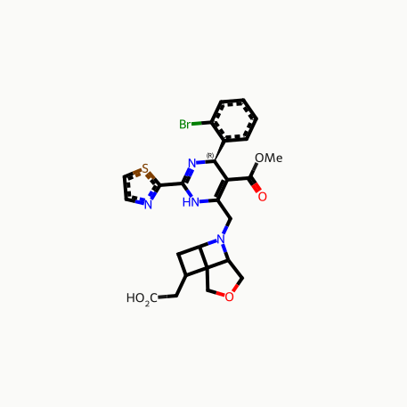 COC(=O)C1=C(CN2C3COCC34C(CC(=O)O)CC24)NC(c2nccs2)=N[C@H]1c1ccccc1Br